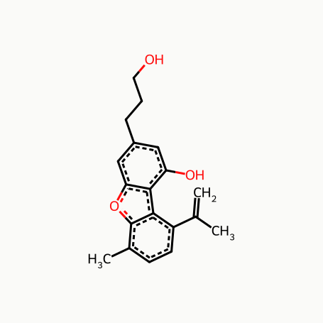 C=C(C)c1ccc(C)c2oc3cc(CCCO)cc(O)c3c12